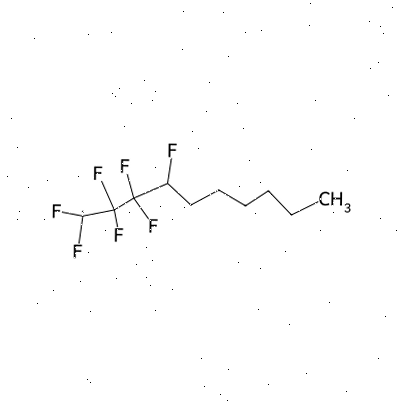 CCCCCCC(F)C(F)(F)C(F)(F)[C](F)F